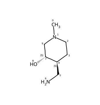 CN1CC[C@@H](CN)[C@H](O)C1